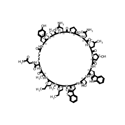 CCCC[C@H]1C(=O)N(C)[C@@H](CCCC)C(=O)N[C@@H](C)C(=O)NC(C(=O)NCC(N)=O)CSCC(=O)N[C@@H](Cc2ccc(O)cc2)C(=O)N(C)[C@@H](C)C(=O)N[C@@H](CC(N)=O)C(=O)N2CCC[C@H]2C(=O)N[C@@H](CC(N)=O)C(=O)NC(CC(C)C)C(=O)N2C[C@H](O)C[C@H]2C(=O)N[C@@H](Cc2c[nH]c3ccccc23)C(=O)N[C@@H](CO)C(=O)N[C@@H](Cc2csc3ccccc23)C(=O)N1C